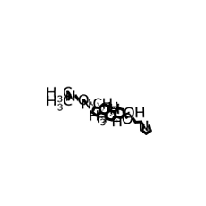 CN(C)CCON=C[C@H]1CC[C@]2(O)[C@@H]3CC[C@@H]4C[C@@](O)(OCCCN5CCCC5)CC[C@]4(C)[C@H]3CC[C@]12C